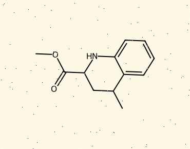 COC(=O)C1CC(C)c2ccccc2N1